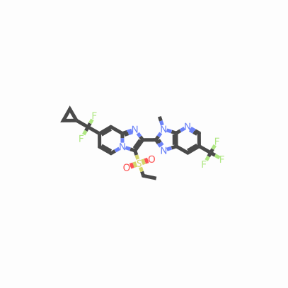 CCS(=O)(=O)c1c(-c2nc3cc(C(F)(F)F)cnc3n2C)nc2cc(C(F)(F)C3CC3)ccn12